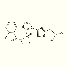 CCCN(CCC)Cc1nc(-c2ncn3c2[C@@H]2CCCN2C(=O)c2c(Cl)cccc2-3)no1